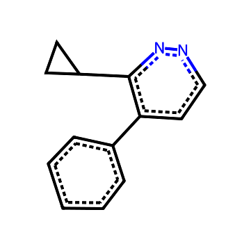 c1ccc(-c2ccnnc2C2CC2)cc1